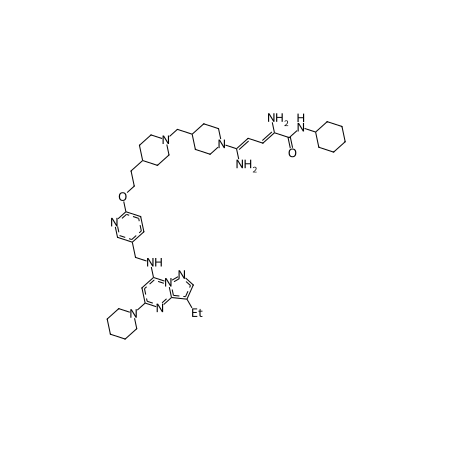 CCc1cnn2c(NCc3ccc(OCCC4CCN(CC5CCN(/C(N)=C/C=C(\N)C(=O)NC6CCCCC6)CC5)CC4)nc3)cc(N3CCCCC3)nc12